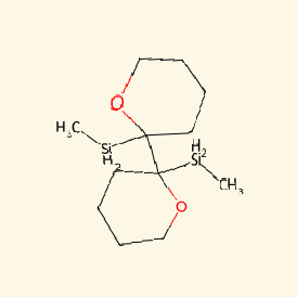 C[SiH2]C1(C2([SiH2]C)CCCCO2)CCCCO1